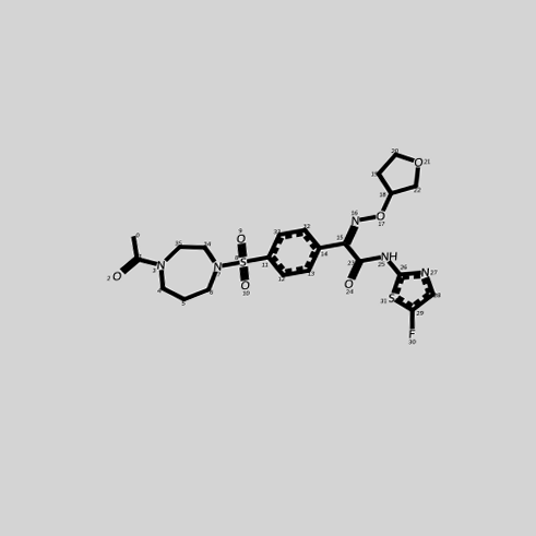 CC(=O)N1CCCN(S(=O)(=O)c2ccc(C(=NOC3CCOC3)C(=O)Nc3ncc(F)s3)cc2)CC1